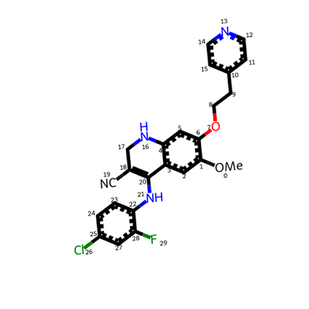 COc1cc2c(cc1OCCc1ccncc1)NCC(C#N)=C2Nc1ccc(Cl)cc1F